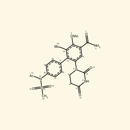 COc1c(C(N)=O)cc(N2CCC(=O)NC2=O)c(-c2ccc(N(C(C)=O)S(C)(=O)=O)cc2)c1C(C)(C)C